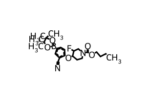 CCCCOC(=O)N1CCC(Oc2ccc(B3OC(C)(C)C(C)(C)O3)cc2C#N)C(F)C1